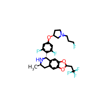 C[C@@H]1Cc2cc3c(cc2[C@@H](c2c(F)cc(O[C@H]4CCN(CCCF)C4)cc2F)N1)OC(CC(F)(F)F)O3